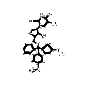 COc1ccc(C(OCC2OCC(n3cc(C)c(=O)[nH]c3=O)C2O)(c2ccccc2)c2ccc(OC)cc2)cc1